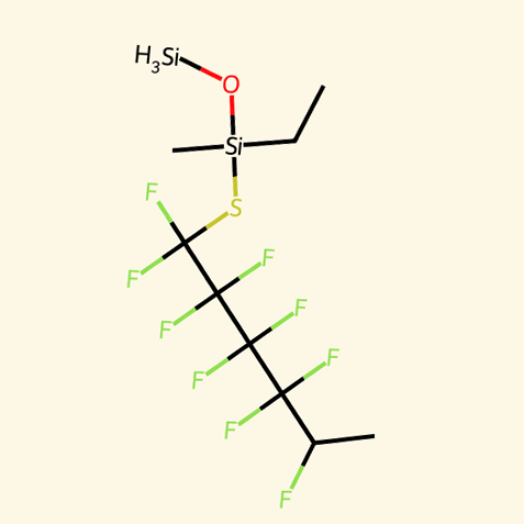 CC[Si](C)(O[SiH3])SC(F)(F)C(F)(F)C(F)(F)C(F)(F)C(C)F